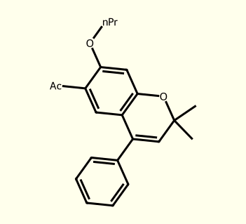 CCCOc1cc2c(cc1C(C)=O)C(c1ccccc1)=CC(C)(C)O2